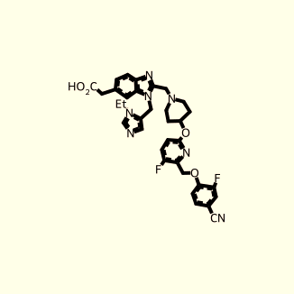 CCn1cncc1Cn1c(CN2CCC(Oc3ccc(F)c(COc4ccc(C#N)cc4F)n3)CC2)nc2ccc(CC(=O)O)cc21